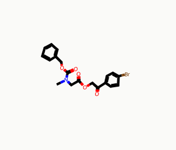 CN(CC(=O)OCC(=O)c1ccc(Br)cc1)C(=O)OCc1ccccc1